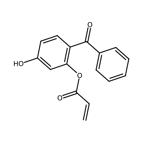 C=CC(=O)Oc1cc(O)ccc1C(=O)c1ccccc1